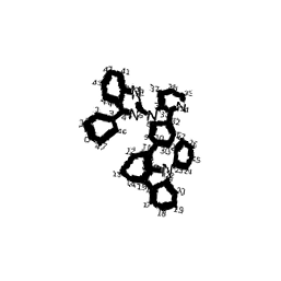 c1ccc(-c2nc(-n3c4cc(-c5cccc6c7ccccc7n(-c7ccccc7)c56)ccc4c4ncccc43)nc3ccccc23)cc1